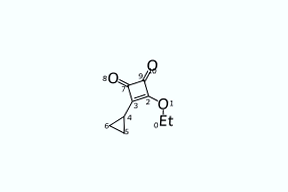 CCOc1c(C2CC2)c(=O)c1=O